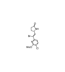 COc1nc(C(Br)=C[C@H]2CCC(=O)N2)ccc1Cl